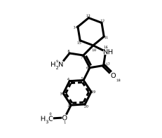 COc1ccc(C2=C(CN)C3(CCCCC3)NC2=O)cc1